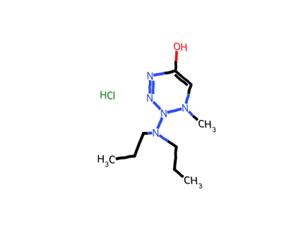 CCCN(CCC)N1N=NC(O)=CN1C.Cl